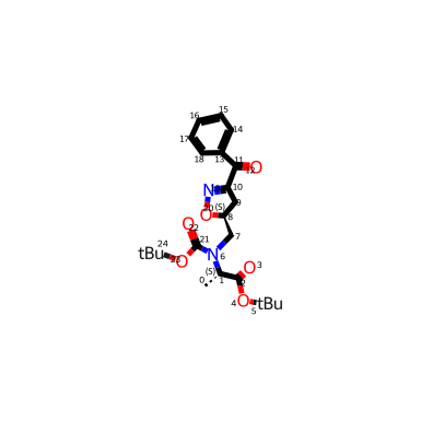 C[C@@H](C(=O)OC(C)(C)C)N(C[C@@H]1CC(C(=O)c2ccccc2)=NO1)C(=O)OC(C)(C)C